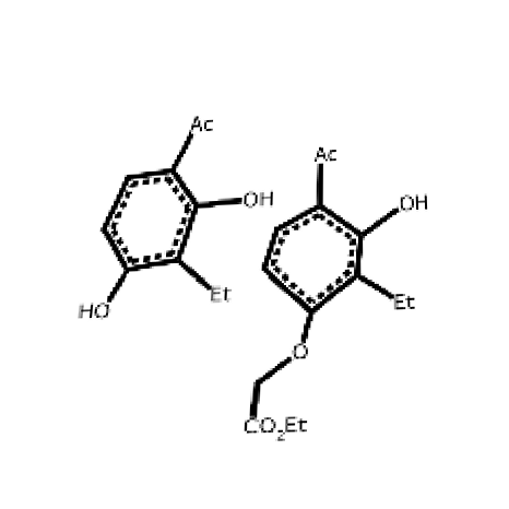 CCOC(=O)COc1ccc(C(C)=O)c(O)c1CC.CCc1c(O)ccc(C(C)=O)c1O